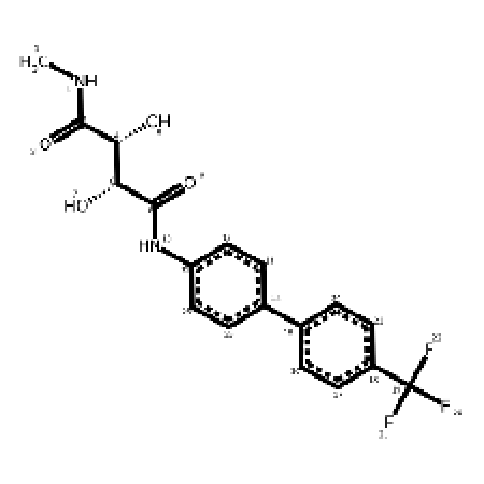 CNC(=O)[C@H](O)[C@@H](O)C(=O)Nc1ccc(-c2ccc(C(F)(F)F)cc2)cc1